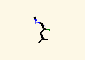 C=N/C=C(/F)C=C(C)C